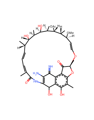 CO[C@H]1/C=C/O[C@]2(C)Oc3c(C)c(O)c4c(c3C2=O)C(=N)C(N)=C(NC(=O)/C(C)=C\C=C\[C@H](C)[C@H](O)[C@@H](C)[C@@H](O)[C@@H](C)[C@H](OC(C)=O)[C@@H]1C)C4O